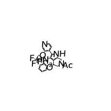 CC(=O)N1CC(=O)c2c([nH]c(-c3ccncc3OCC(F)(F)P)c2Nc2ccccc2)C1